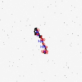 O=C(CCC(=O)ON1C(=O)CCC1=O)NCCOCCNC(=O)OCc1ccc(C2=NOC(CN3C(=O)c4ccccc4C#Cc4ccccc43)C2)cc1